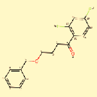 O=C(CCCOCc1ccccc1)c1ccc(F)cc1F